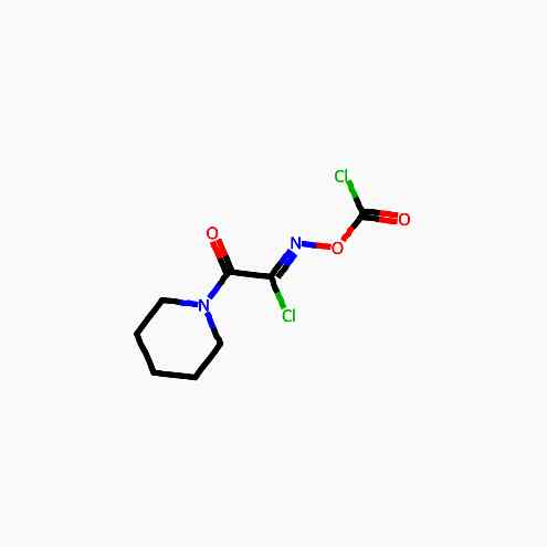 O=C(Cl)ON=C(Cl)C(=O)N1CCCCC1